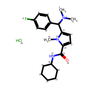 CN(C)C(c1ccc(F)cc1)c1ccc(C(=O)NC2CCCCC2)n1C.Cl